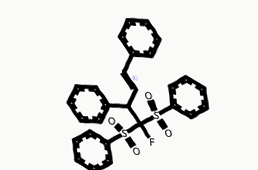 O=S(=O)(c1ccccc1)C(F)(C(/C=C/c1ccccc1)c1ccccc1)S(=O)(=O)c1ccccc1